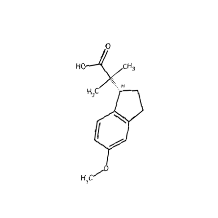 COc1ccc2c(c1)CC[C@H]2C(C)(C)C(=O)O